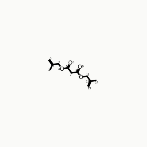 C=C(C)COC(=O)CC(=O)OCC(=C)C